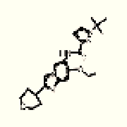 CCOc1cc2nc(C3CCOCC3)cn2cc1NC(=O)c1ccn(C(C)(C)C)n1